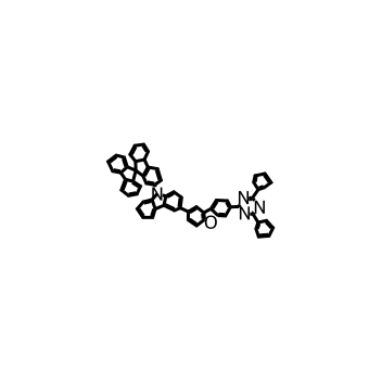 C1=CC2c3ccc(-n4c5ccccc5c5cc(-c6ccc7oc8cc(-c9nc(-c%10ccccc%10)nc(-c%10ccccc%10)n9)ccc8c7c6)ccc54)cc3C3(c4ccccc4-c4ccccc43)C2C=C1